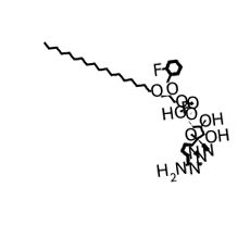 CCCCCCCCCCCCCCCCCCOC[C@H](COP(=O)(O)OC[C@H]1O[C@@](C#N)(c2ccc3c(N)ncnn23)[C@H](O)[C@@H]1O)OCc1ccccc1F